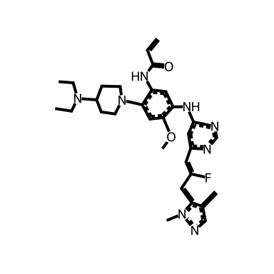 C=CC(=O)Nc1cc(Nc2cc(/C=C(F)/C=c3\c(=C)cnn3C)ncn2)c(OC)cc1N1CCC(N(CC)CC)CC1